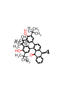 CC(C)(C)c1cc(-c2ccc3c(c2-c2cc(C(C)(C)C)c(O)c(C(C)(C)C)c2)C(=O)c2ccccc2C3=C2C=C2)cc(C(C)(C)C)c1O